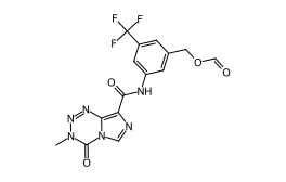 Cn1nnc2c(C(=O)Nc3cc(COC=O)cc(C(F)(F)F)c3)ncn2c1=O